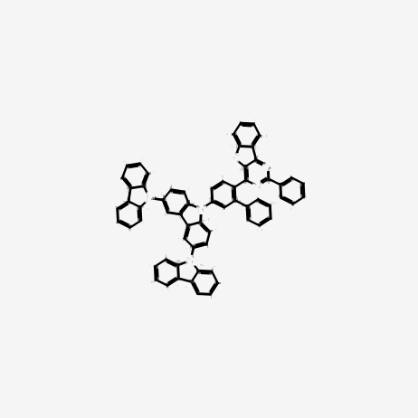 c1ccc(-c2nc(-c3ccc(-n4c5ccc(-n6c7ccccc7c7ccccc76)cc5c5cc(-n6c7ccccc7c7ccccc76)ccc54)cc3-c3ccccc3)c3sc4ccccc4c3n2)cc1